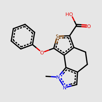 Cn1ncc2c1-c1c(Oc3ccccc3)sc(C(=O)O)c1CC2